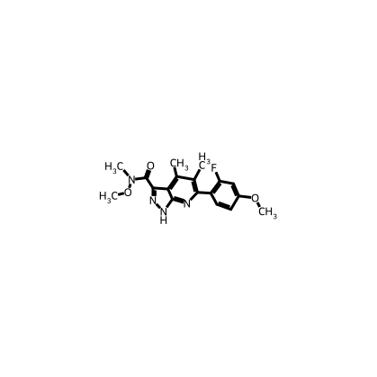 COc1ccc(-c2nc3[nH]nc(C(=O)N(C)OC)c3c(C)c2C)c(F)c1